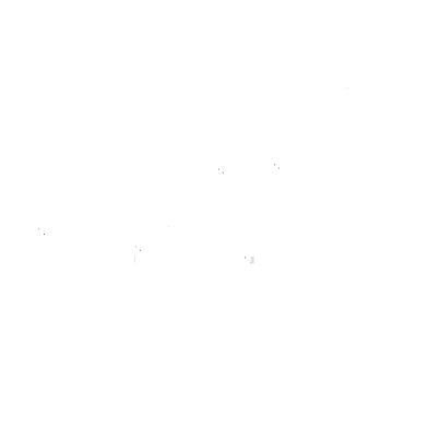 COc1cc(-c2ncnc3c(C(=O)NC4CCNCC4)c(C)[nH]c23)c(OCC2CC2)cc1F.Cl